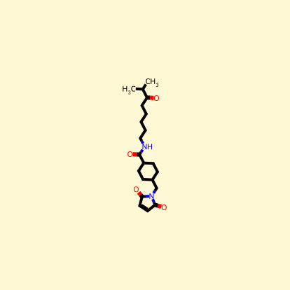 CC(C)C(=O)CCCCCNC(=O)C1CCC(CN2C(=O)C=CC2=O)CC1